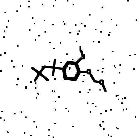 COCOc1ccc(C(C)(C)CC(C)(C)C)cc1SI